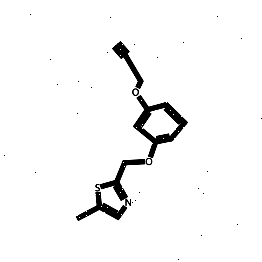 C#CCOc1cccc(OCc2ncc(C)s2)c1